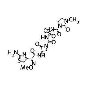 CON=C(C(=O)N[C@H]1CN(C(=O)NS(=O)(=O)NC(=O)N2CCN(C)C2=O)C1=O)c1csc(N)n1